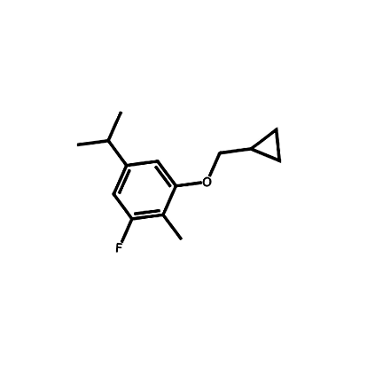 Cc1c(F)cc(C(C)C)cc1OCC1CC1